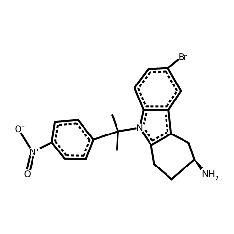 CC(C)(c1ccc([N+](=O)[O-])cc1)n1c2c(c3cc(Br)ccc31)C[C@@H](N)CC2